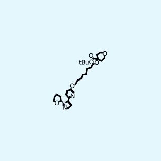 CC(C)(C)OC(=O)C1(OCCCCCCCCOc2ccc(-c3ccnn3C3CCCCO3)nc2)CCOCC1